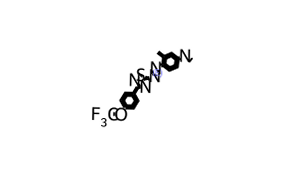 C=Nc1ccc(/N=N/c2nc(-c3ccc(OC(F)(F)F)cc3)ns2)c(C)c1